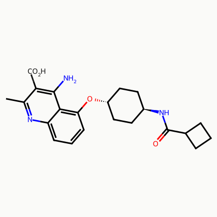 Cc1nc2cccc(O[C@H]3CC[C@H](NC(=O)C4CCC4)CC3)c2c(N)c1C(=O)O